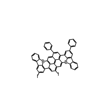 Ic1cc2c3c(c1)-c1cc(I)c4cc5c6c(cc(-c7ccccc7)c7cc(c1c4c76)B3c1ccccc1-2)-c1cc(-c2ccccc2)cc2c1B5c1ccccc1-2